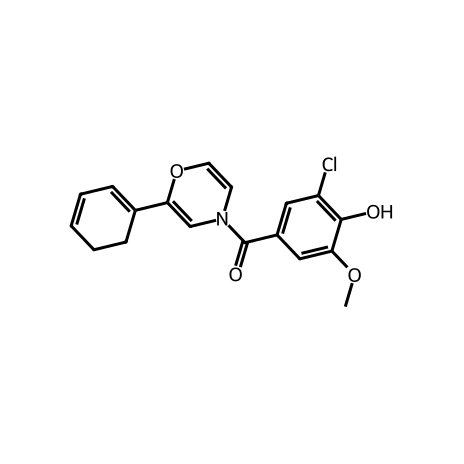 COc1cc(C(=O)N2C=COC(C3=CC=CCC3)=C2)cc(Cl)c1O